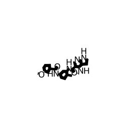 CNc1c(C(=O)Nc2cc(NC(=O)c3cccc(OC)c3)ccc2C)cnc2[nH]ccc12